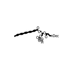 CC#CC#CC#CC#CC#CC(=O)OC[C@@H](COP(=O)(O)O)OC(=O)CCCCCCCCCCCC